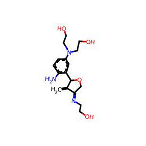 C=C1C(=NCCO)COC1c1cc(N(CCO)CCO)ccc1N